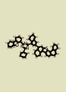 c1ccc(-c2nc(-c3cc(-c4cc5sc6c(ccc7ccc8ccccc8c76)c5c5ccccc45)cc4ccccc34)nc(-c3cccc4c3oc3ccccc34)n2)cc1